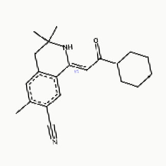 Cc1cc2c(cc1C#N)/C(=C/C(=O)C1CCCCC1)NC(C)(C)C2